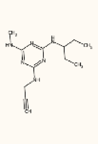 C#CCNc1nc(NC)nc(NC(CC)CC)n1